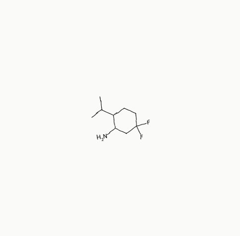 CC(C)C1CCC(F)(F)CC1N